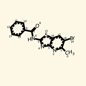 Cc1nc2nc(NC(=O)c3ccccc3)sc2cc1Br